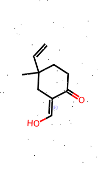 C=CC1(C)CCC(=O)/C(=C/O)C1